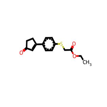 CCOC(=O)CSc1ccc(C2=CC(=O)CC2)cc1